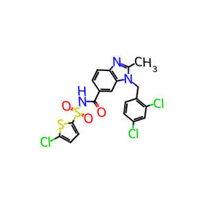 Cc1nc2ccc(C(=O)NS(=O)(=O)c3ccc(Cl)s3)cc2n1Cc1ccc(Cl)cc1Cl